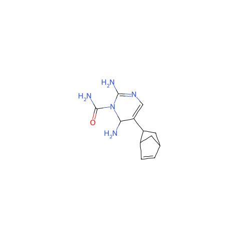 NC(=O)N1C(N)=NC=C(C2CC3C=CC2C3)C1N